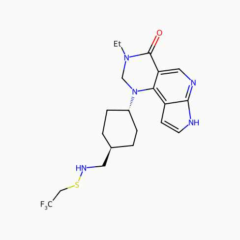 CCN1CN([C@H]2CC[C@H](CNSCC(F)(F)F)CC2)c2c(cnc3[nH]ccc23)C1=O